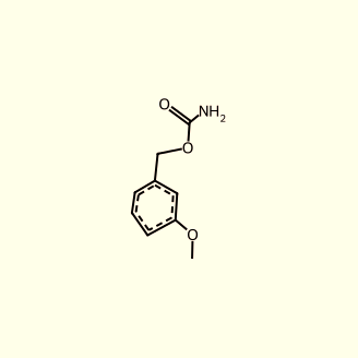 COc1cccc(COC(N)=O)c1